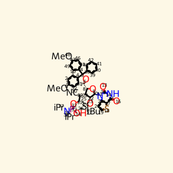 COc1ccc(C(OC[C@@H]2O[C@@H](n3c(=O)[nH]c(=O)c4sccc43)[C@H](O[Si](C)(C)C(C)(C)C)[C@@H]2C(C#N)COP(O)N(C(C)C)C(C)C)(c2ccccc2)c2ccc(OC)cc2)cc1